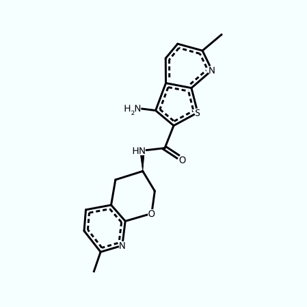 Cc1ccc2c(n1)OC[C@H](NC(=O)c1sc3nc(C)ccc3c1N)C2